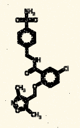 Cc1noc(C)c1COc1ccc(Cl)cc1C(=O)NCc1ccc(S(N)(=O)=O)cc1